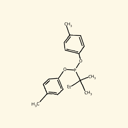 CCC(C)(C)P(Oc1ccc(C)cc1)Oc1ccc(C)cc1